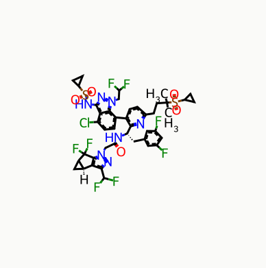 CC(C)(CCc1ccc(-c2ccc(Cl)c3c(NS(=O)(=O)C4CC4)nn(CC(F)F)c23)c([C@H](Cc2cc(F)cc(F)c2)NC(=O)Cn2nc(C(F)F)c3c2C(F)(F)C2C[C@H]32)n1)S(=O)(=O)C1CC1